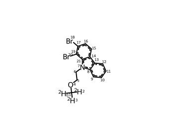 [2H]C([2H])([2H])OCCn1c2ccccc2c2ccc(Br)c(Br)c21